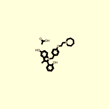 CC(=O)O.Cc1c(-c2ccccc2O)n(Cc2ccc(OCCN3CCCCCC3)cc2)c2ccc(O)cc12